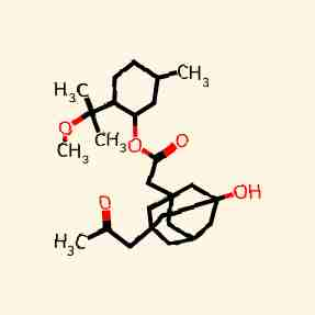 COC(C)(C)C1CCC(C)CC1OC(=O)CC12CC3CC(O)(CC(CC(C)=O)(C3)C1)C2